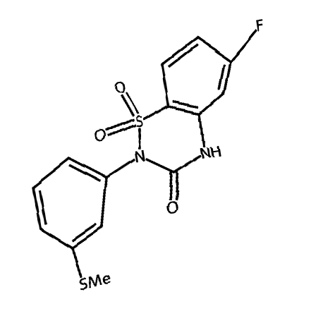 CSc1cccc(N2C(=O)Nc3cc(F)ccc3S2(=O)=O)c1